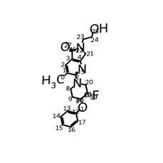 Cc1cc2c(nc1N1CC[C@@H](Oc3ccccc3)[C@@H](F)C1)CN(CCO)C2=O